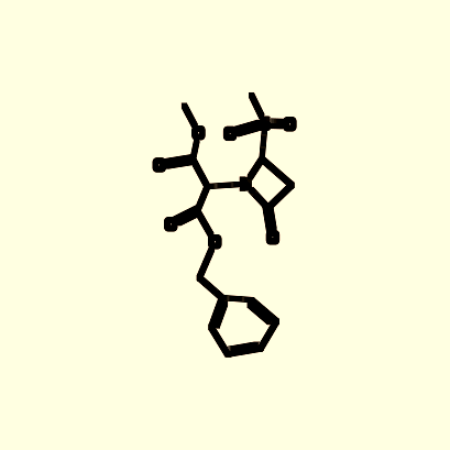 COC(=O)C(C(=O)OCc1ccccc1)N1C(=O)CC1S(C)(=O)=O